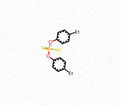 CCc1ccc(OP(=S)(S)Oc2ccc(CC)cc2)cc1